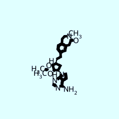 CN1CCc2ccc(CC[C@H]3C[C@@H](n4ccc5c(N)ncnc54)[C@@H]4OC(C)(C)O[C@H]34)cc2CC1=O